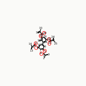 C=C(C)C(=O)Oc1cc(OC(=O)C(=C)C)cc(-c2cc(OC(=O)C(=C)C)cc(OC(=O)C(=C)C)c2C)c1